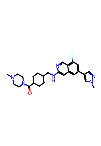 CN1CCN(C(=O)C2CCC(CNc3cc4cc(-c5cnn(C)c5)cc(F)c4cn3)CC2)CC1